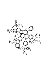 CC(C)(C)c1ccc(N2B3c4cc5c(cc4-n4c6cc7c(cc6c6c8sc9ccccc9c8c(c3c64)-c3cc4c(cc32)C(C)(C)c2ccccc2-4)C(C)(C)CCC7(C)C)C(C)(C)c2ccccc2-5)cc1